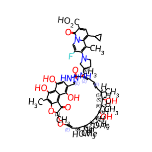 CO[C@H]1/C=C/O[C@@]2(C)Oc3c(C)c(O)c4c(O)c(c(/C=N/N[C@H]5CCN(c6c(F)cn7c(=O)c(C(=O)O)cc(C8CC8)c7c6C)C5)c(O)c4c3C2=O)NC(=O)/C(C)=C\C=C\[C@H](C)[C@H](O)[C@@H](C)[C@@H](O)[C@@H](C)[C@H](OC(C)=O)[C@@H]1C